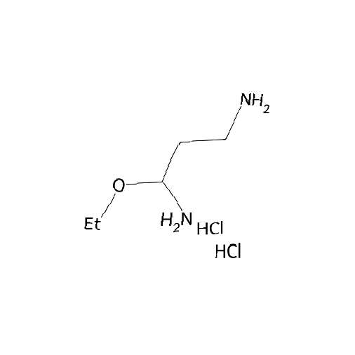 CCOC(N)CCN.Cl.Cl